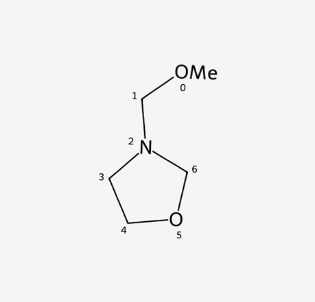 COCN1CCOC1